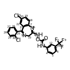 O=C(Nc1cccc(C(F)(F)F)c1)ONC1=Nc2ccc(Cl)cc2C(c2ccccc2Cl)=NC1